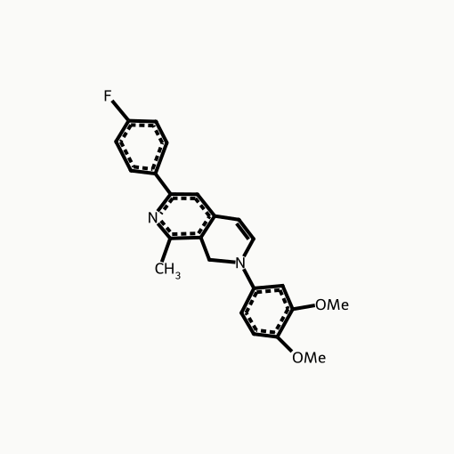 COc1ccc(N2C=Cc3cc(-c4ccc(F)cc4)nc(C)c3C2)cc1OC